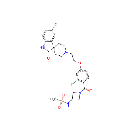 CS(=O)(=O)NC1CN(C(=O)c2ccc(OCCN3CCC4(CC3)C(=O)Nc3ccc(Cl)cc34)cc2F)C1